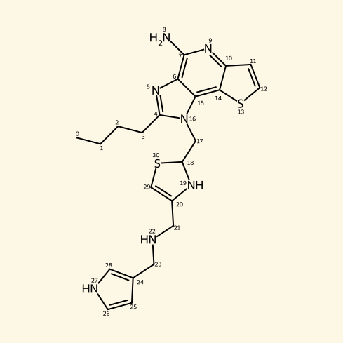 CCCCc1nc2c(N)nc3ccsc3c2n1CC1NC(CNCc2cc[nH]c2)=CS1